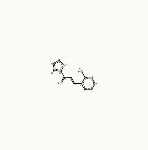 O=C(C=Cc1ccccc1O)c1nccs1